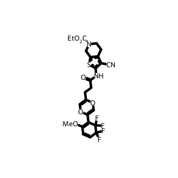 CCOC(=O)N1CCc2c(sc(NC(=O)CCC3=COC(C4=C(OC)C=CC(F)(F)C4(F)F)=CO3)c2C#N)C1